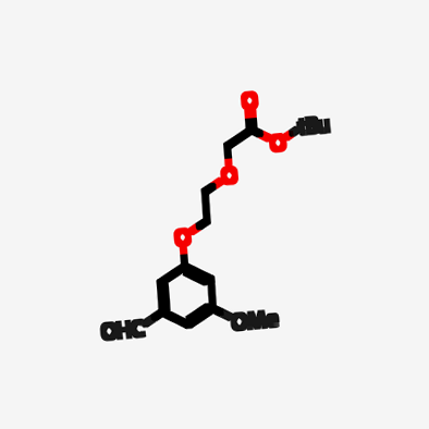 COc1cc(C=O)cc(OCCOCC(=O)OC(C)(C)C)c1